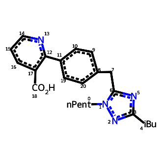 CCCCCn1nc(C(C)CC)nc1Cc1ccc(-c2ncccc2C(=O)O)cc1